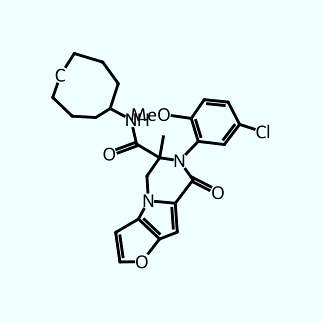 COc1ccc(Cl)cc1N1C(=O)c2cc3occc3n2CC1(C)C(=O)NC1CCCCCCC1